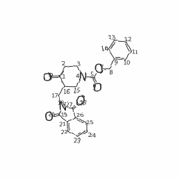 O=C1CCN(C(=O)OCc2ccccc2)CC1CN1C(=O)c2ccccc2C1=O